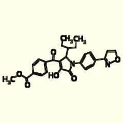 CCC(CC)C1C(C(=O)c2ccc(C(=O)OC)cc2)=C(O)C(=O)N1c1ccc(-c2ccon2)cc1